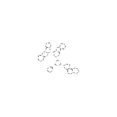 c1ccc(-c2nc(-c3ccc4c(ccc5ccccc54)c3)nc(-c3cc(-n4c5ccccc5c5cc6ccccc6cc54)c4oc5ccccc5c4c3)n2)cc1